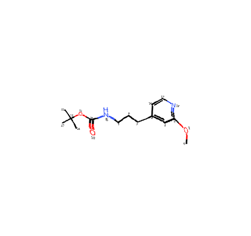 COc1cc(CCCNC(=O)OC(C)(C)C)ccn1